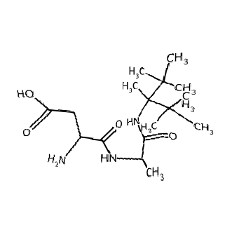 CC(NC(=O)C(N)CC(=O)O)C(=O)NC(C)(C(C)(C)C)C(C)(C)C